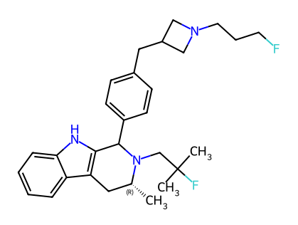 C[C@@H]1Cc2c([nH]c3ccccc23)C(c2ccc(CC3CN(CCCF)C3)cc2)N1CC(C)(C)F